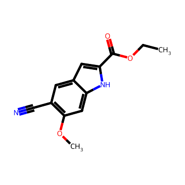 CCOC(=O)c1cc2cc(C#N)c(OC)cc2[nH]1